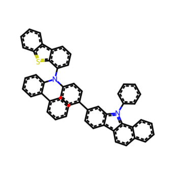 c1ccc(-c2ccccc2N(c2ccc(-c3ccc4c5ccc6ccccc6c5n(-c5ccccc5)c4c3)cc2)c2cccc3c2sc2ccccc23)cc1